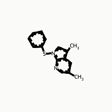 Cc1cnc2c(c1)c(C)cn2Sc1ccccc1